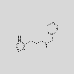 CN(CCCc1ncc[nH]1)Cc1ccccc1